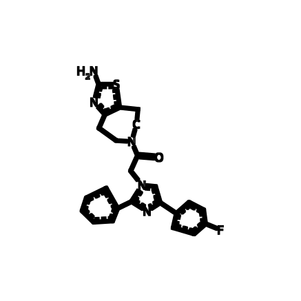 Nc1nc2c(s1)CCN(C(=O)Cn1cc(-c3ccc(F)cc3)nc1-c1ccccc1)CC2